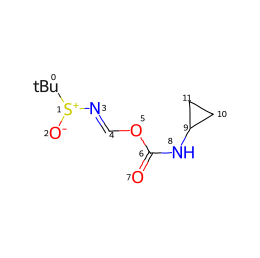 CC(C)(C)[S+]([O-])N=COC(=O)NC1CC1